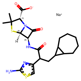 CC1(C)S[C@@H]2[C@H](NC(=O)C(CC3C4CCCCCC43)c3csc(N)n3)C(=O)N2[C@H]1C(=O)[O-].[Na+]